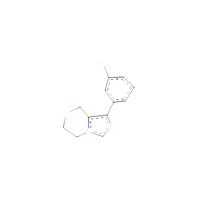 Brc1cccc(-c2ncn3c2COCC3)c1